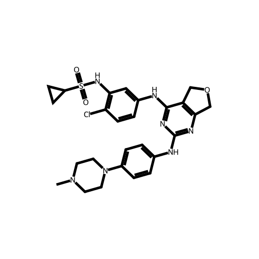 CN1CCN(c2ccc(Nc3nc4c(c(Nc5ccc(Cl)c(NS(=O)(=O)C6CC6)c5)n3)COC4)cc2)CC1